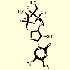 CCC(F)(C[C@H]1O[C@@H](n2cc(C)c(N)nc2=O)[C@H](O)[C@@H]1O)OP(=O)(O)C(C)(O)CC